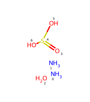 N.N.O.O=S(O)O